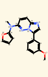 COc1cccc(-c2cnc3ccc(N(C)c4ccco4)nn23)c1